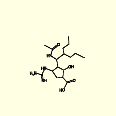 CCCC(CCC)C(NC(C)=O)C1C(NC(=N)N)CC(C(=O)O)C1O